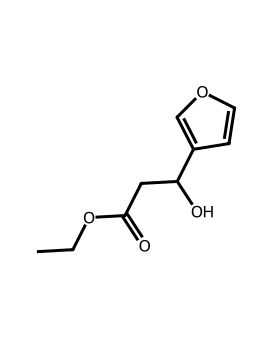 CCOC(=O)CC(O)c1ccoc1